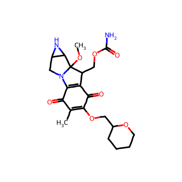 COC12C(COC(N)=O)C3=C(C(=O)C(C)=C(OCC4CCCCO4)C3=O)N1CC1NC12